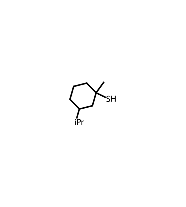 CC(C)C1CCCC(C)(S)C1